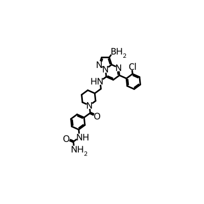 Bc1cnn2c(NCC3CCCN(C(=O)c4cccc(NC(N)=O)c4)C3)cc(-c3ccccc3Cl)nc12